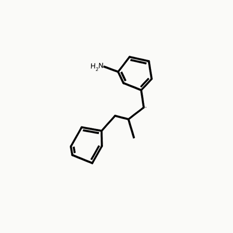 CC([CH]c1cccc(N)c1)Cc1ccccc1